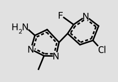 Cc1nc(N)cc(-c2cc(Cl)cnc2F)n1